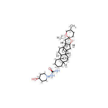 C[C@H]1CC[C@@]2(OC1)O[C@H]1C[C@H]3[C@@H]4CC[C@@H]5C[C@H](NC(=O)NN6CCC(O)CC6)CC[C@]5(C)[C@H]4CC[C@]3(C)[C@H]1[C@@H]2C